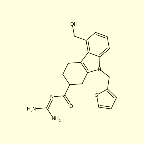 NC(N)=NC(=O)C1CCc2c(n(Cc3cccs3)c3cccc(CO)c23)C1